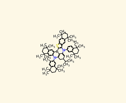 Cc1cc2c(cc1N1C3=C4B(c5cc6c(cc51)C(C)(C)CCC6(C)C)c1sc5cc6c(cc5c1N(c1ccc5c(c1)C(C)(C)CCC5(C)C)C4=CC(C(C)C)C3)C(C)(C)CCC6(C)C)C(C)(C)CCC2(C)C